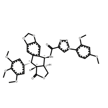 COc1ccc(-n2cc(C(=O)N[C@@H]3c4cc5c(cc4[C@@H](c4cc(OC)c(OC)c(OC)c4)[C@H]4C(=O)OC[C@@H]43)OCO5)nn2)c(OC)c1